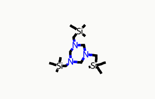 C[Si](C)(C)CN1CN(C[Si](C)(C)C)CN(C[Si](C)(C)C)C1